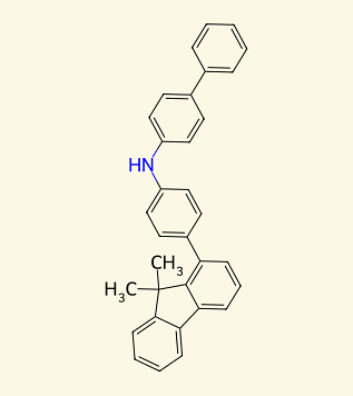 CC1(C)c2ccccc2-c2cccc(-c3ccc(Nc4ccc(-c5ccccc5)cc4)cc3)c21